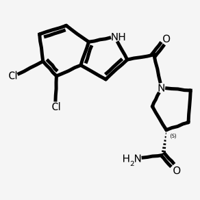 NC(=O)[C@H]1CCN(C(=O)c2cc3c(Cl)c(Cl)ccc3[nH]2)C1